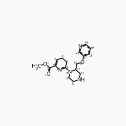 COC(=O)C1=CCCC(N2CCNCC2COc2cccnc2)=N1